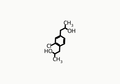 CC(O)Cc1ccc(CC(C)O)c(Cl)c1